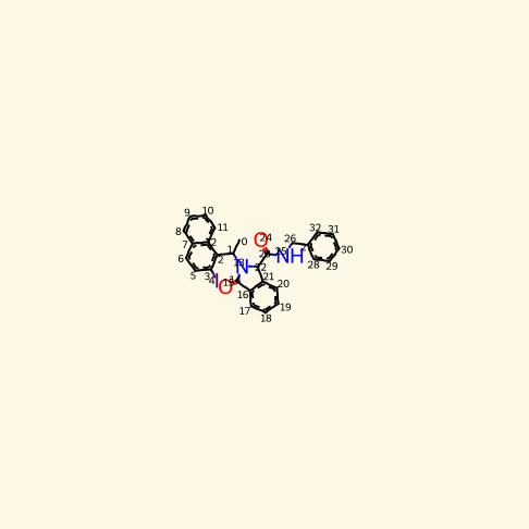 CC(c1c(I)ccc2ccccc12)N1C(=O)c2ccccc2C1C(=O)NCc1ccccc1